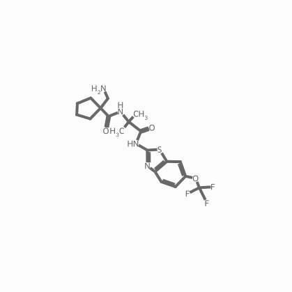 CC(C)(NC(=O)C1(CN)CCCC1)C(=O)Nc1nc2ccc(OC(F)(F)F)cc2s1